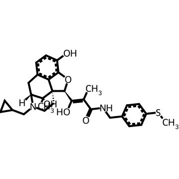 CSc1ccc(CNC(=O)/C(C)=C(\O)[C@@H]2Oc3c(O)ccc4c3[C@@]23CCN(CC2CC2)[C@H](C4)[C@@]3(C)O)cc1